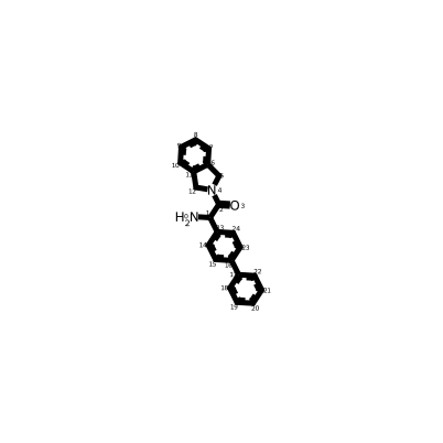 NC(C(=O)N1Cc2ccccc2C1)c1ccc(-c2ccccc2)cc1